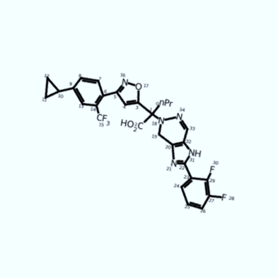 CCCC(C(=O)O)(c1cc(-c2ccc(C3CC3)cc2C(F)(F)F)no1)N1Cc2nc(-c3cccc(F)c3F)[nH]c2C=N1